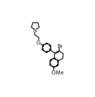 COc1ccc2c(c1)CCC(Br)=C2c1ccc(OCCN2CCCC2)cc1